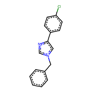 Clc1ccc(-c2cn(Cc3ccccc3)cn2)cc1